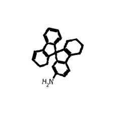 Nc1ccc2c(c1)C1(C3=C(C=CCC3)c3ccccc31)C1=C2CCCC1